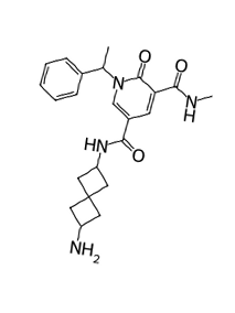 CNC(=O)c1cc(C(=O)NC2CC3(CC(N)C3)C2)cn(C(C)c2ccccc2)c1=O